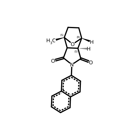 C[C@@]12CC[C@@H](O1)[C@H]1C(=O)N(c3ccc4ccccc4c3)C(=O)C12